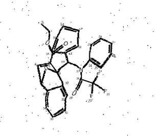 CCOC(=O)C1=CC2OC1(C(c1ccccc1)N(C(=O)C(F)(F)F)c1ccccc1)c1ccccc12